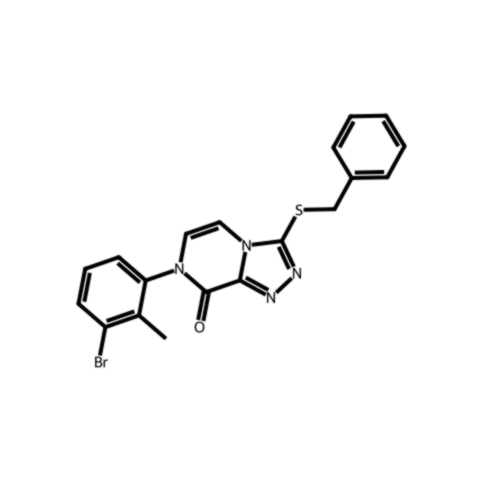 Cc1c(Br)cccc1-n1ccn2c(SCc3ccccc3)nnc2c1=O